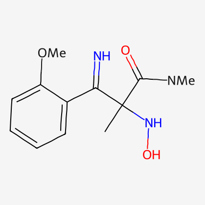 CNC(=O)C(C)(NO)C(=N)c1ccccc1OC